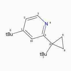 CC(C)(C)c1ccnc(C2(C(C)(C)C)CC2)c1